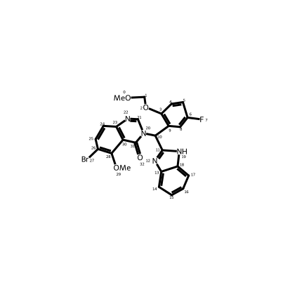 COCOc1ccc(F)cc1C(c1nc2ccccc2[nH]1)n1cnc2ccc(Br)c(OC)c2c1=O